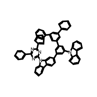 c1ccc(-c2cc(-c3ccccc3)cc(-c3cc(-c4ccc5c6ccccc6n(-c6nc(-c7ccccc7)nc(-c7ccccc7)n6)c5c4)cc(-n4c5ccccc5c5ccccc54)c3)c2)cc1